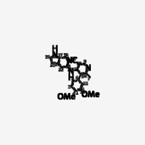 COc1ccc(-c2c(C)ncc(C#N)c2Nc2ccc3[nH]ccc3c2)cc1OC